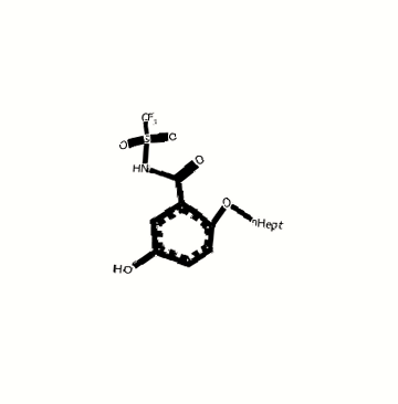 CCCCCCCOc1ccc(O)cc1C(=O)NS(=O)(=O)C(F)(F)F